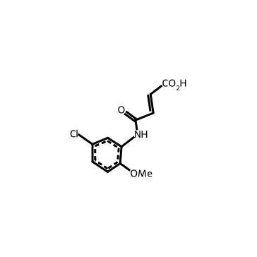 COc1ccc(Cl)cc1NC(=O)C=CC(=O)O